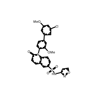 COc1cc(Cl)cc(-c2ccc(-n3c(=O)ccc4cc(S(=O)(=O)Nc5ccon5)ccc43)c(OC)c2)c1